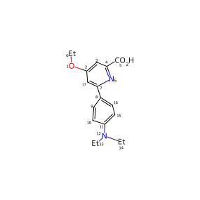 CCOc1cc(C(=O)O)nc(-c2ccc(N(CC)CC)cc2)c1